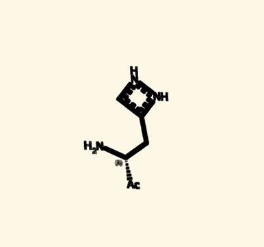 CC(=O)[C@H](N)Cc1c[nH][nH]1